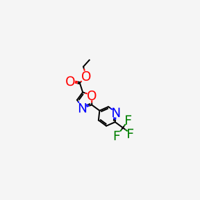 CCOC(=O)c1cnc(-c2ccc(C(F)(F)F)nc2)o1